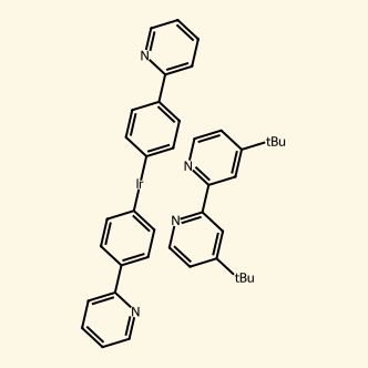 CC(C)(C)c1ccnc(-c2cc(C(C)(C)C)ccn2)c1.c1ccc(-c2cc[c]([Ir][c]3ccc(-c4ccccn4)cc3)cc2)nc1